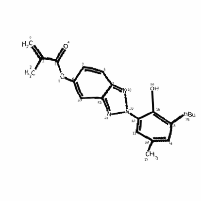 C=C(C)C(=O)Oc1ccc2nn(-c3cc(C)cc(CCCC)c3O)nc2c1